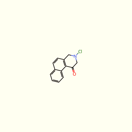 O=C1CN(Cl)Cc2ccc3ccccc3c21